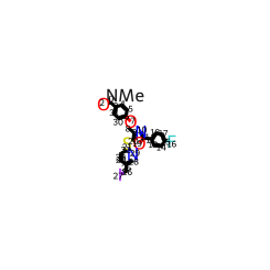 CNC(=O)c1ccc(OCc2nc(-c3ccc(F)cc3)oc2Sc2ccc(CI)cn2)cc1